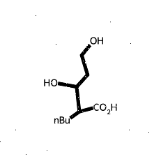 CCCCC(C(=O)O)C(O)CCO